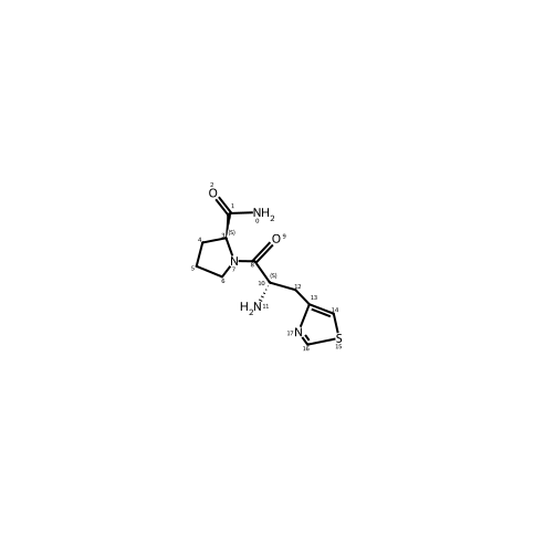 NC(=O)[C@@H]1CCCN1C(=O)[C@@H](N)Cc1cscn1